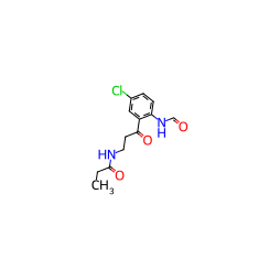 CCC(=O)NCCC(=O)c1cc(Cl)ccc1NC=O